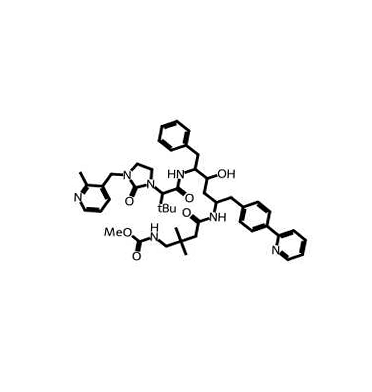 COC(=O)NCC(C)(C)CC(=O)NC(Cc1ccc(-c2ccccn2)cc1)CC(O)C(Cc1ccccc1)NC(=O)C(N1CCN(Cc2cccnc2C)C1=O)C(C)(C)C